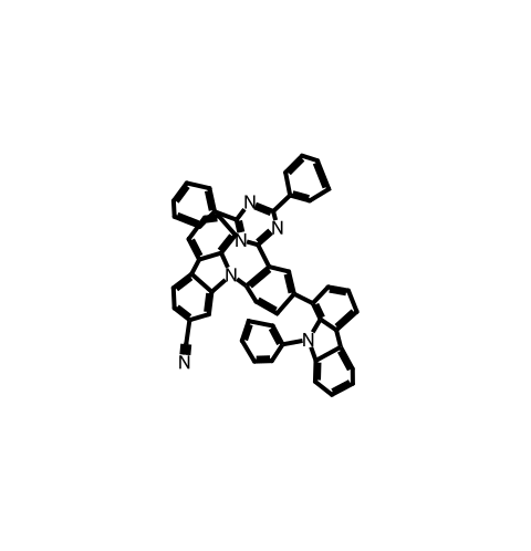 N#Cc1ccc2c3ccccc3n(-c3ccc(-c4cccc5c6ccccc6n(-c6ccccc6)c45)cc3-c3nc(-c4ccccc4)nc(-c4ccccc4)n3)c2c1